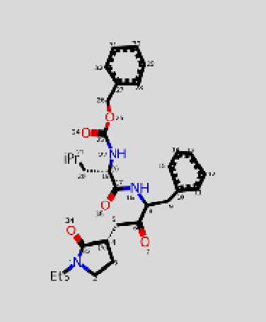 [CH2]CN1CC[C@@H](CC(=O)C(Cc2ccccc2)NC(=O)[C@H](CC(C)C)NC(=O)OCc2ccccc2)C1=O